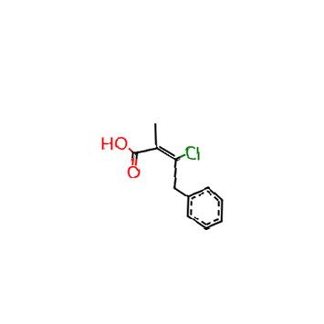 CC(C(=O)O)=C(Cl)Cc1ccccc1